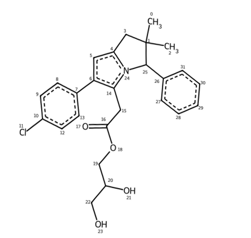 CC1(C)Cc2cc(-c3ccc(Cl)cc3)c(CC(=O)OCC(O)CO)n2C1c1ccccc1